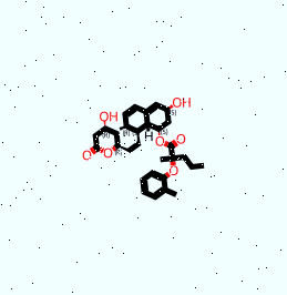 CCCC(C)(Oc1ccccc1C)C(=O)O[C@H]1C[C@H](O)C=C2C=C[C@H](C)[C@H](CC[C@@H]3C[C@@H](O)CC(=O)O3)[C@H]21